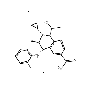 Cc1cccnc1N[C@H]1c2cc(C(N)=O)ccc2N(C(C)O)[C@@H](C2CC2)[C@@H]1C